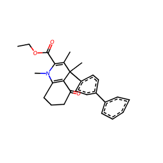 CCOC(=O)C1=C(C)C(C)(c2ccc(-c3ccccc3)cc2)C2=C(CCCC2=O)N1C